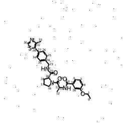 CCOc1cccc(C(=O)N[C@@H](C)C(=O)N2CCC[C@H]2C(=O)NCc2ccc(-c3scnc3C)cc2)c1